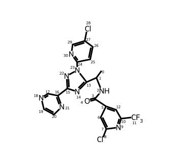 CC(NC(=O)c1cc(Cl)nc(C(F)(F)F)c1)c1nc(-c2cnccn2)nn1-c1ccc(Cl)cn1